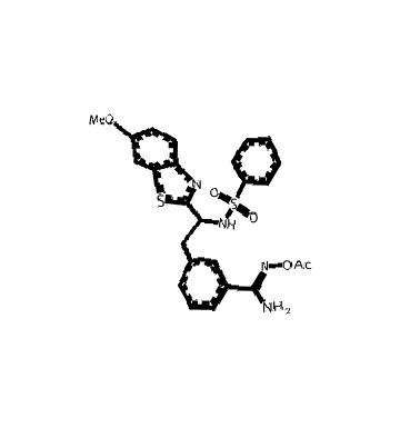 COc1ccc2nc(C(Cc3cccc(C(N)=NOC(C)=O)c3)NS(=O)(=O)c3ccccc3)sc2c1